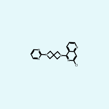 Clc1cc2ncccc2c(N2CC3(CN(c4ncccn4)C3)C2)n1